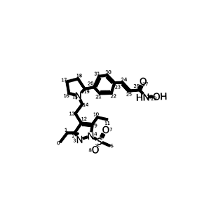 CCc1nn(S(C)(=O)=O)c(CC)c1CCN1CCCC1c1ccc(C=CC(=O)NO)cc1